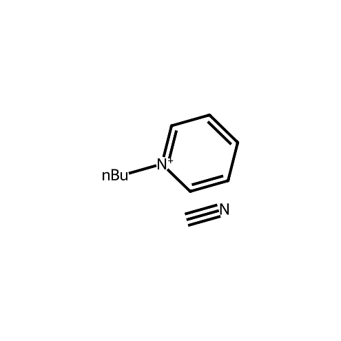 C#N.CCCC[n+]1ccccc1